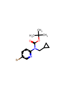 CC(C)(C)OC(=O)N(CC1CC1)c1ccc(Br)cn1